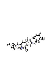 C=C/C=c1/ccn(C/C(C)=C/N2C=C(CC)C=CC2=C)c(=O)/c1=C/N